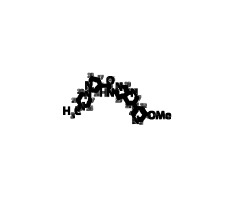 COc1cncc(-c2cnc3cnc(NC(=O)c4ccnc(N5CCN(C)CC5)c4)cc3c2)c1